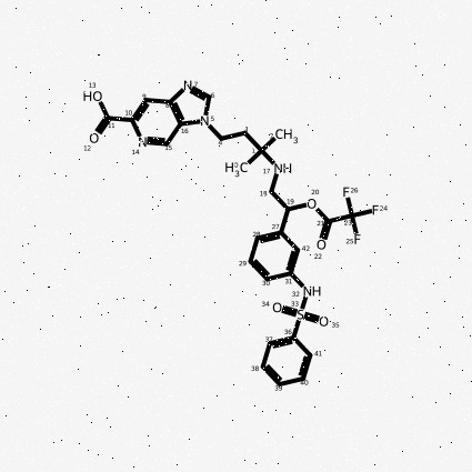 CC(C)(CCn1cnc2cc(C(=O)O)ncc21)NCC(OC(=O)C(F)(F)F)c1cccc(NS(=O)(=O)c2ccccc2)c1